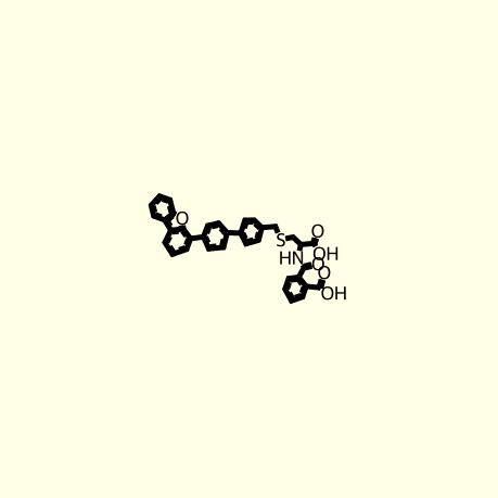 O=C(O)c1ccccc1C(=O)NC(CSCc1ccc(-c2ccc(-c3cccc4c3oc3ccccc34)cc2)cc1)C(=O)O